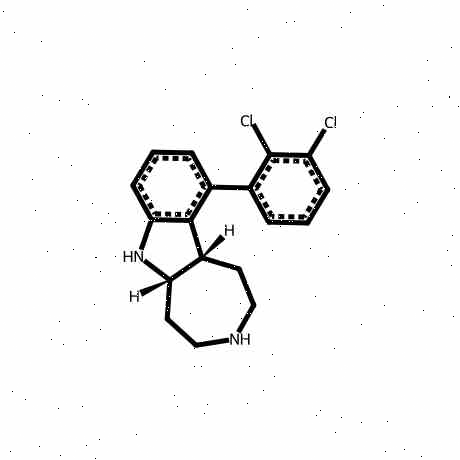 Clc1cccc(-c2cccc3c2[C@@H]2CCNCC[C@@H]2N3)c1Cl